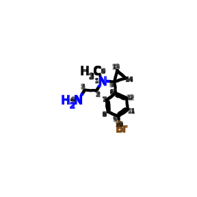 CN(CCN)C1(c2ccc(Br)cc2)CC1